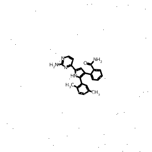 Cc1ccc(C)c(-c2[nH]c(-c3ccnc(N)n3)cc2-c2ccccc2C(N)=O)c1